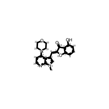 Cn1cc(C=C2Oc3cccc(O)c3C2=O)c2c(N3CCOCC3)ccnc21